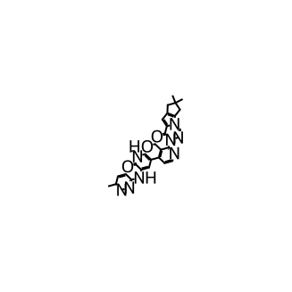 Cc1ccc(Nc2cc(-c3ccnc(-n4ncn5c6c(cc5c4=O)CC(C)(C)C6)c3CO)cn(C)c2=O)nn1